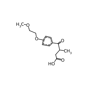 COCCOc1ccc(C(=O)C(C)CC(=O)O)cc1